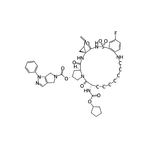 C=C[C@@H]1C[C@@]12NC(=O)[C@@H]1C[C@@H](OC(=O)N3Cc4cnn(-c5ccccc5)c4C3)CN1C(=O)[C@@H](NC(=O)OC1CCCC1)CCCCCCCNc1ccc(F)cc1S(=O)(=O)NC2=O